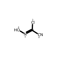 N#C/C(Cl)=N/O